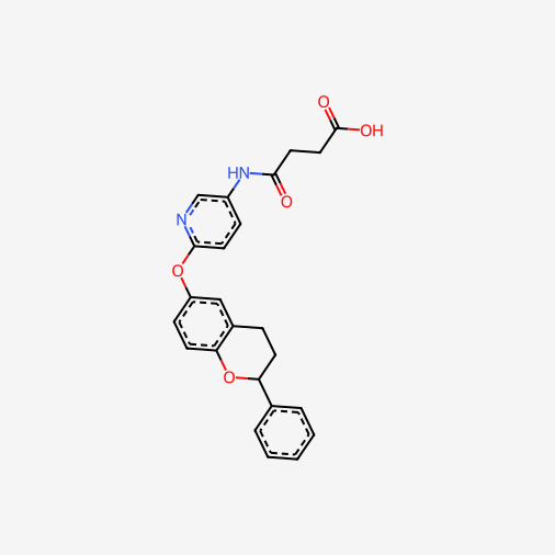 O=C(O)CCC(=O)Nc1ccc(Oc2ccc3c(c2)CCC(c2ccccc2)O3)nc1